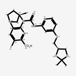 CC1(C)OC[C@H](COc2ccnc(NC(=O)N3c4nc(C(=O)O)c(F)cc4N4CC[C@@]3(C)C4)c2)O1